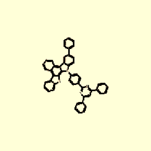 c1ccc(-c2ccc3c(c2)c2c4ccccc4c4c5ccccc5sc4c2n3-c2ccc(-c3nc(-c4ccccc4)cc(-c4ccccc4)n3)cc2)cc1